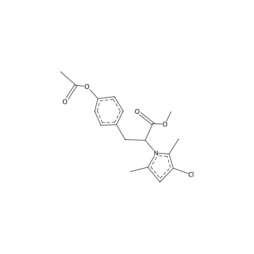 COC(=O)C(Cc1ccc(OC(C)=O)cc1)n1c(C)cc(Cl)c1C